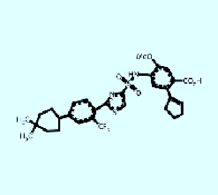 COc1cc(C(=O)O)c(C2=CCCC2)cc1NS(=O)(=O)c1csc(-c2ccc(C3CCC(C)(C)CC3)cc2C(F)(F)F)n1